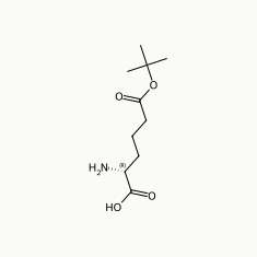 CC(C)(C)OC(=O)CCC[C@@H](N)C(=O)O